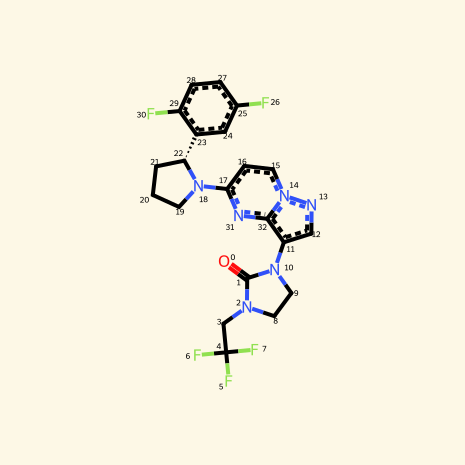 O=C1N(CC(F)(F)F)CCN1c1cnn2ccc(N3CCC[C@@H]3c3cc(F)ccc3F)nc12